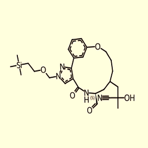 CC(O)(C#N)CC1CCCOc2cccc(c2)-c2nn(COCC[Si](C)(C)C)cc2C(=O)N[C@H](C=O)C1